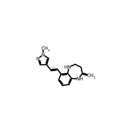 C=C1CCNc2c(/C=C/c3cnn(C)c3)cccc2N1